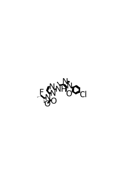 C[C@H](Nc1nccc(N2C(=O)OC[C@@H]2[C@H](C)F)n1)c1ncn2c1COc1cc(Cl)ccc1-2